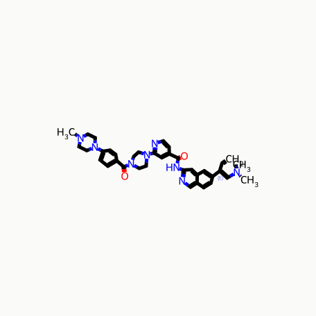 C=C/C(=C\N(C)C)c1ccc2cnc(NC(=O)c3ccnc(N4CCN(C(=O)c5ccc(N6CCN(C)CC6)cc5)CC4)c3)cc2c1